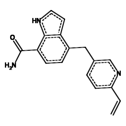 C=Cc1ccc(Cc2ccc(C(N)=O)c3[nH]ccc23)cn1